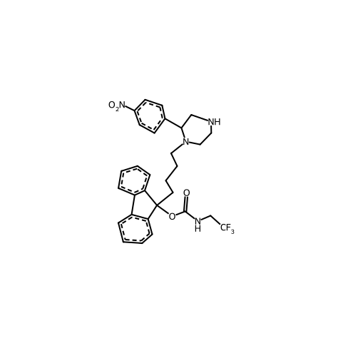 O=C(NCC(F)(F)F)OC1(CCCCN2CCNCC2c2ccc([N+](=O)[O-])cc2)c2ccccc2-c2ccccc21